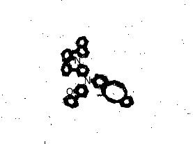 C[C@@H]1/C=C\c2ccccc2C/C=C\c2ccc(N(c3ccc(-n4c5ccccc5c5c6ccccc6ccc54)c(-c4ccccc4)c3)c3ccc4c(c3)oc3ccccc34)cc21